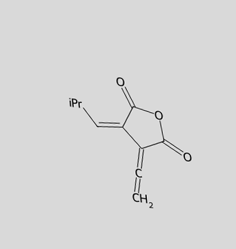 C=C=C1C(=O)OC(=O)C1=CC(C)C